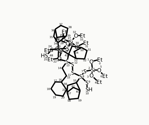 CCO[Si](OCC)(OCC)SS(SS)(SSS(CCC1CCCCC1)(SS(SS)(S[Si](OCC)(OCC)OCC)C1CC2CCC1C2)C1([Si](OCC)(OCC)OCC)CC2CCC1C2)C1CC2CCC1C2